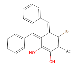 CC(=O)c1c(O)c(O)c(=C\c2ccccc2)/c(=C\c2ccccc2)c1Br